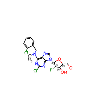 CN(Cc1ccccc1Cl)c1nc(Cl)nc2c1ncn2[C@@H]1O[C@H](C[O])[C@@H](O)[C@@H]1F